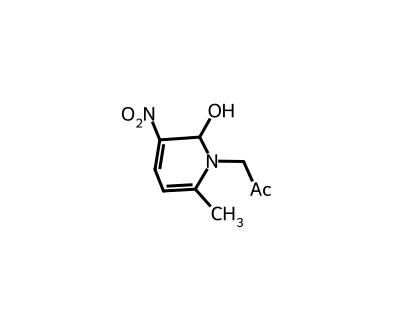 CC(=O)CN1C(C)=CC=C([N+](=O)[O-])C1O